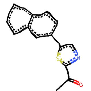 CC(=O)c1ncc(-c2ccc3ccccc3c2)s1